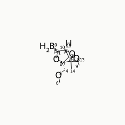 B[C@@H]1O[C@@]2(COC)C(OC)[C@@H]1OC2(C)C